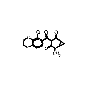 CC1C(=O)C(C(=O)c2ccc3c(c2Cl)OCCS3)C(=O)C2CC12